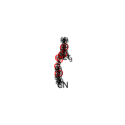 CCC(CC(C)C(=O)OCCCCOc1ccc(C(=O)Oc2ccc(-c3ccc(C#N)cc3)cc2)cc1)C(=O)Oc1ccc(OC(=O)/C=C/c2ccccc2)cc1